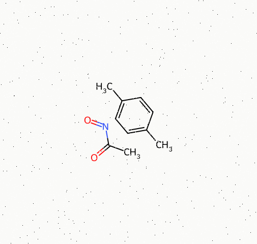 CC(=O)N=O.Cc1ccc(C)cc1